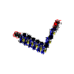 CN(C)c1n/c(=[N+](\C)c2ccccc2)ss1.CN(C)c1n/c(=[N+](\C)c2ccccc2)ss1.CN(C)c1n/c(=[N+](\C)c2ccccc2)ss1.CN(C)c1n/c(=[N+](\C)c2ccccc2)ss1.CN(C)c1n/c(=[N+](\C)c2ccccc2)ss1.CN(C)c1n/c(=[N+](\C)c2ccccc2)ss1.CN(C)c1n/c(=[N+](\C)c2ccccc2)ss1.CN(C)c1n/c(=[N+](\C)c2ccccc2)ss1.[O-]B([O-])F.[O-]B([O-])F.[O-]B([O-])F.[O-]B([O-])F